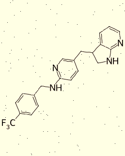 FC(F)(F)c1ccc(CNc2ccc(CC3CNc4ncccc43)cn2)cc1